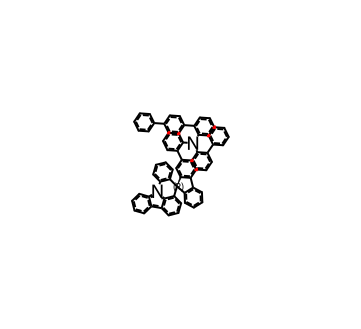 c1ccc(-c2ccc(-c3ccccc3N(c3ccccc3-c3ccccc3)c3ccccc3-c3ccc4c(c3)[C@]3(c5ccccc5-4)c4ccccc4-n4c5ccccc5c5cccc3c54)cc2)cc1